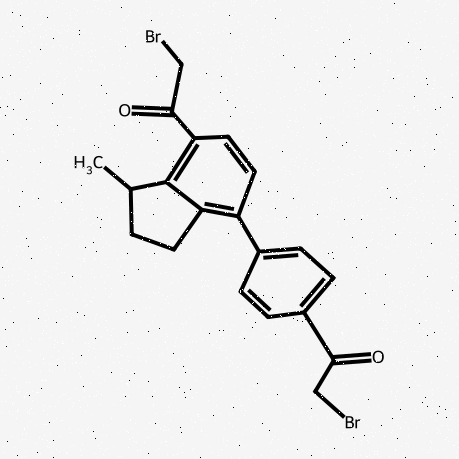 CC1CCc2c(-c3ccc(C(=O)CBr)cc3)ccc(C(=O)CBr)c21